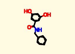 O=C(NCc1ccccc1)c1cc(O)cc(O)c1